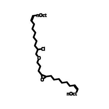 CCCCCCCC/C=C\CCCCCCC(Cl)COCCCC1OC1CCCCCC/C=C\CCCCCCCC